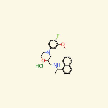 COc1cc(N2CCOC(CN[C@H](C)c3cccc4ccccc34)C2)ccc1F.Cl